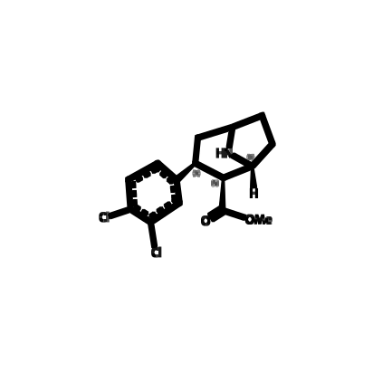 COC(=O)[C@H]1[C@@H](c2ccc(Cl)c(Cl)c2)CC2CC[C@H]1N2